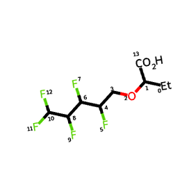 CCC(OCC(F)C(F)C(F)C(F)F)C(=O)O